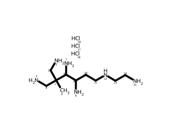 CC(CN)(CN)C(N)C(N)CCNCCN.Cl.Cl.Cl